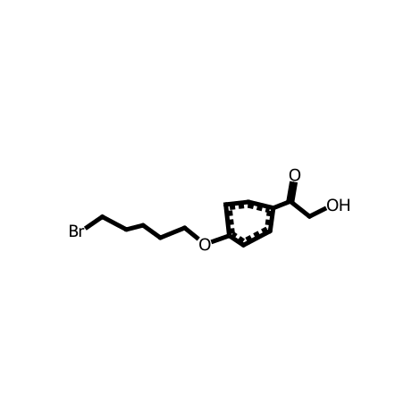 O=C(CO)c1ccc(OCCCCCBr)cc1